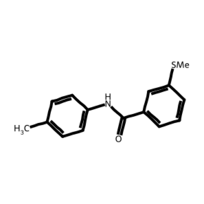 CSc1cccc(C(=O)Nc2ccc(C)cc2)c1